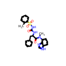 Cc1ccccc1S(=O)(=O)NC(=O)NC(Cc1ccccc1)C(=O)N(C)c1cccc2[nH]cnc12